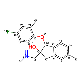 CNCC1(O)Cc2cc(C)ccc2C1Oc1ccc(F)cc1C